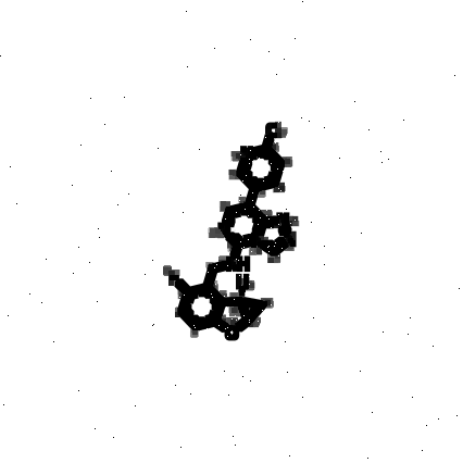 Fc1ccc2c(c1CNc1ncc(-c3ccc(Cl)nc3)c3nncn13)[C@H]1CC1O2